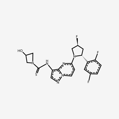 OC1CN(C(=S)Nc2cnn3ccc(N4C[C@@H](F)C[C@@H]4c4cc(F)ccc4F)nc23)C1